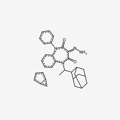 CC(C1C2CC3CC(C2)CC1C3)n1c(=O)c(=NN)c(=O)n(-c2ccccc2)c2ccccc21.c1cc2cc-2c1